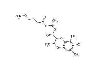 Cc1cc2c(c(C)c1Cl)C=C(C(=O)O[C@@H](C)OC(=O)CCCO[N+](=O)[O-])C(C(F)(F)F)O2